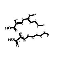 CCCCC(CC)C/C=C(\C)C(=O)O.CCCCCC/C=C(\C)C(=O)O